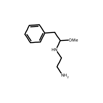 COC(Cc1ccccc1)NCCN